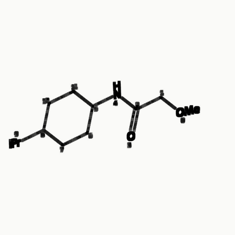 COCC(=O)NC1CCC(C(C)C)CC1